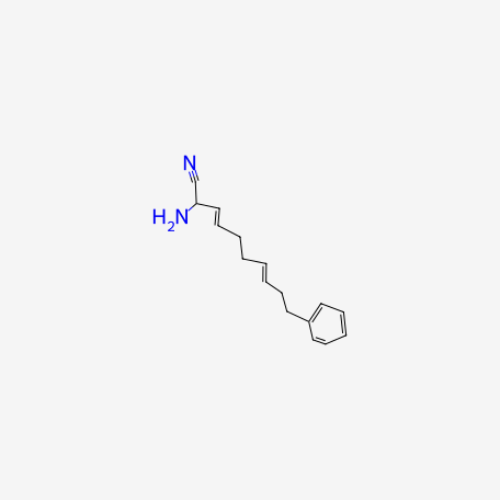 N#CC(N)C=CCCC=CCCc1ccccc1